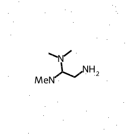 CNC(CN)N(C)C